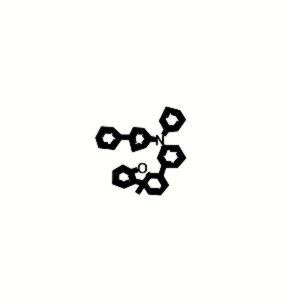 CC12C=CC=C(c3cccc(N(c4ccccc4)c4ccc(-c5ccccc5)cc4)c3)C1Oc1ccccc12